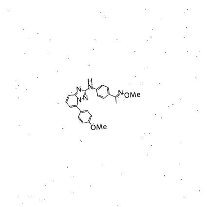 CO/N=C(\C)c1ccc(Nc2nc3cccc(-c4ccc(OC)cc4)n3n2)cc1